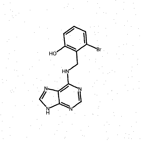 Oc1cccc(Br)c1CNc1ncnc2[nH]cnc12